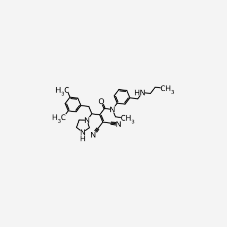 CCCNCc1cccc(N(CC)C(=O)C(=C(C#N)C#N)C(Cc2cc(C)cc(C)c2)N2CCNC2)c1